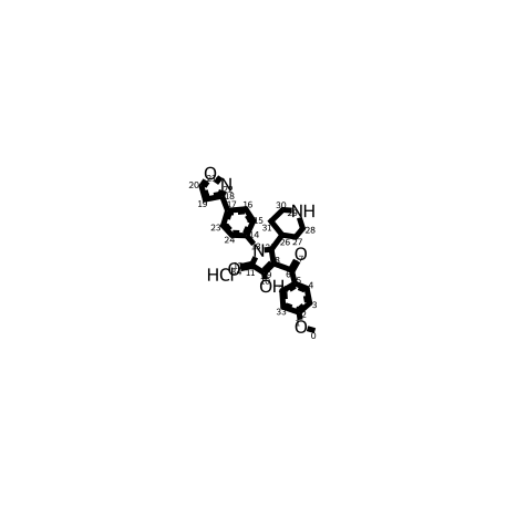 COc1ccc(C(=O)C2=C(O)C(=O)N(c3ccc(-c4ccon4)cc3)C2C2CCNCC2)cc1.Cl